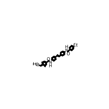 CBCc1ccc(C(=O)Nc2ccc(/C=C/c3ccc(NC(=O)c4ccc(CC)cc4)cc3)cc2)cc1